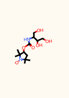 CC1(C)CC(OC(=O)NC(CO)C(O)CO)C(C)(C)N1[O]